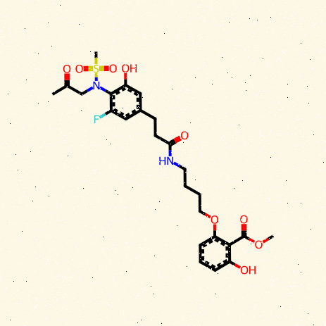 COC(=O)c1c(O)cccc1OCCCCNC(=O)CCc1cc(O)c(N(CC(C)=O)S(C)(=O)=O)c(F)c1